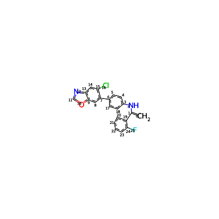 C=C(Nc1ccc(-c2cc3ocnc3cc2Cl)cc1)c1ccccc1F